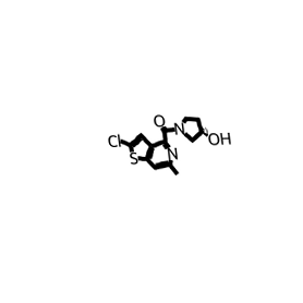 Cc1cc2sc(Cl)cc2c(C(=O)N2CC[C@@H](O)C2)n1